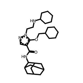 O=C(NC1C2CC3CC(C2)CC1C3)c1cnn(CCNC2CCCCC2)c1OCC1CCCCC1